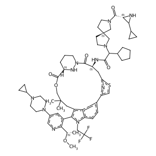 CO[C@@H](C)c1ncc(N2CCN(C3CC3)CC2)cc1-c1c2c3cc(ccc3n1CC(F)(F)F)-c1csc(n1)C[C@H](NC(=O)C(C1CCCC1)N1CC[C@]3(CCN(C(=O)[C@@H]4NC4C4CC4)C3)C1)C(=O)N1CCC[C@H](N1)C(=O)OCC(C)(C)C2